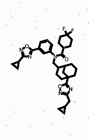 O=C(C1CCC(F)(F)CC1)N(CC1CCC2(c3nc(CC4CC4)no3)CCCC1C2)c1cccc(-c2nc(C3CC3)no2)c1